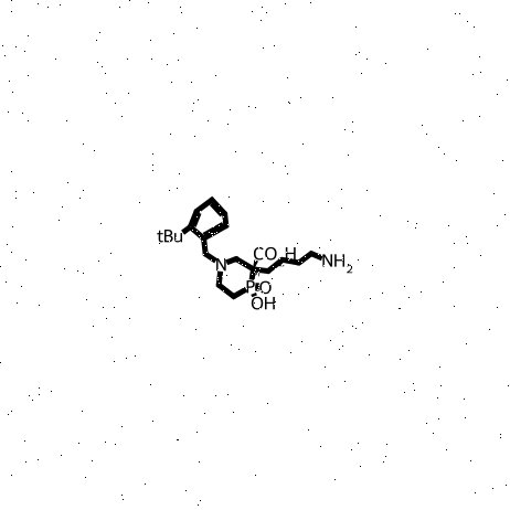 CC(C)(C)c1ccccc1CN1CCP(=O)(O)[C@](CCCCN)(C(=O)O)C1